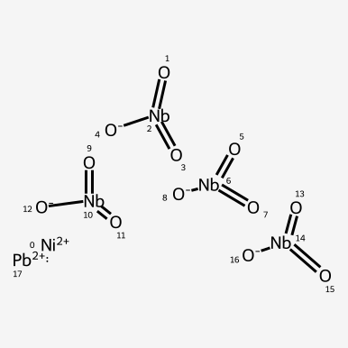 [Ni+2].[O]=[Nb](=[O])[O-].[O]=[Nb](=[O])[O-].[O]=[Nb](=[O])[O-].[O]=[Nb](=[O])[O-].[Pb+2]